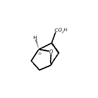 O=C(O)C1CC2CC[C@@H]1O2